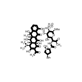 CCC[C@@H]1C[C@@H](C(=O)N[C@@H]([C@H]2O[C@H](SC)[C@H](O)[C@@H](O)[C@H]2O)[C@H](C)Cl)N(C)C1.CN(C)[C@@H]1C(O)=C(C(N)=O)C(=O)[C@@]2(O)C(O)=C3C(=O)c4c(O)cccc4[C@@](C)(O)[C@H]3[C@H](O)[C@@H]12.O.O